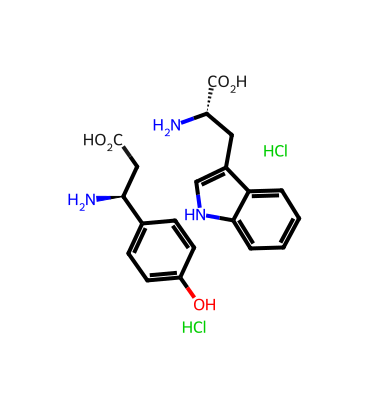 Cl.Cl.N[C@@H](CC(=O)O)c1ccc(O)cc1.N[C@@H](Cc1c[nH]c2ccccc12)C(=O)O